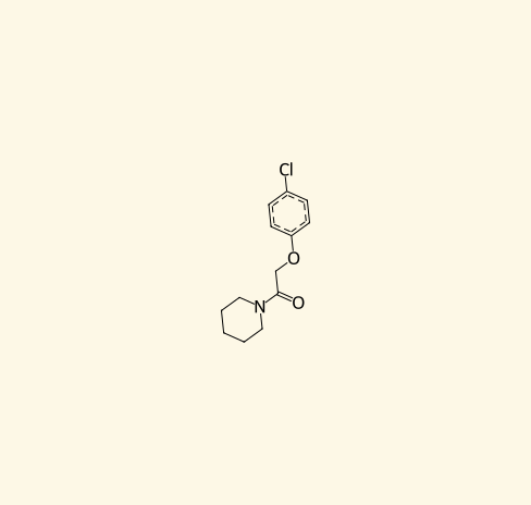 O=C(COc1ccc(Cl)cc1)N1CCCCC1